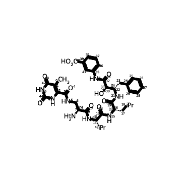 Cc1c(C(=O)NC[C@H](N)C(=O)N[C@H](C(=O)N[C@@H](CC(C)C)C(=O)N[C@@H](Cc2ccccc2)[C@@H](O)C(=O)Nc2cccc(C(=O)O)c2)C(C)C)[nH]c(=O)[nH]c1=O